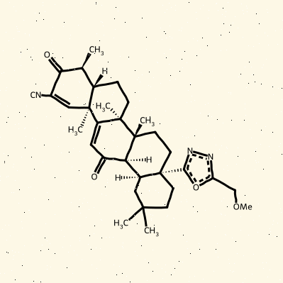 [C-]#[N+]C1=C[C@]2(C)C3=CC(=O)[C@@H]4[C@@H]5CC(C)(C)CC[C@]5(c5nnc(COC)o5)CC[C@@]4(C)[C@]3(C)CC[C@H]2[C@H](C)C1=O